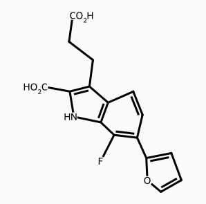 O=C(O)CCc1c(C(=O)O)[nH]c2c(F)c(-c3ccco3)ccc12